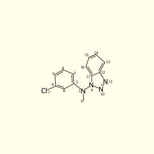 CN(c1cccc(Cl)c1)n1nnc2ccccc21